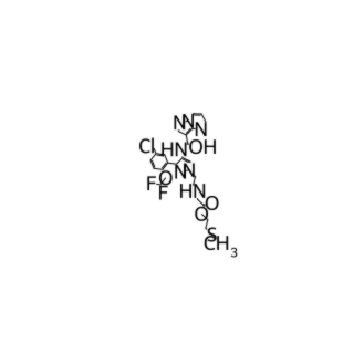 CSCCOC(=O)CNCCn1cc(NC(O)c2cnn3cccnc23)c(-c2cc(Cl)ccc2OC(F)F)n1